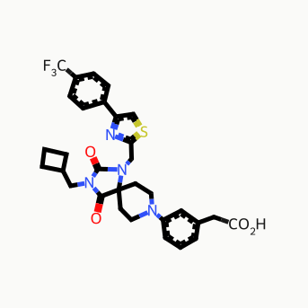 O=C(O)Cc1cccc(N2CCC3(CC2)C(=O)N(CC2CCC2)C(=O)N3Cc2nc(-c3ccc(C(F)(F)F)cc3)cs2)c1